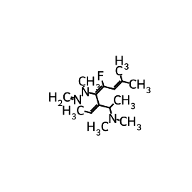 C=NN(C)C(/C(=C\C)C(C)N(C)C)=C(\F)C=C(C)C